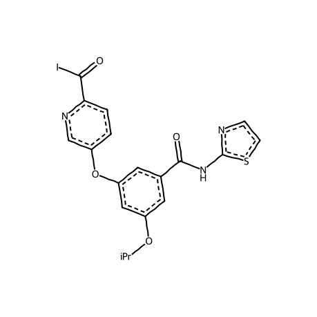 CC(C)Oc1cc(Oc2ccc(C(=O)I)nc2)cc(C(=O)Nc2nccs2)c1